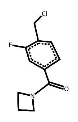 O=C(c1ccc(CCl)c(F)c1)N1CCC1